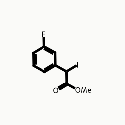 COC(=O)C(I)c1cccc(F)c1